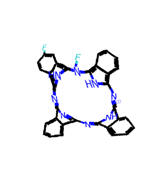 Fc1ccc2c3[nH]c(c2c1)N(F)c1[nH]c(c2ccccc12)/N=c1\[nH]c(c2ccccc12)=NC1=NC(=N3)c2ccccc21